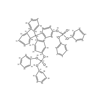 O=P(Oc1ccccc1)(Oc1ccccc1)Oc1ccc(C2(c3ccc(OP(=O)(Oc4ccccc4)Oc4ccccc4)cc3)c3ccccc3-c3ccccc32)cc1